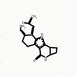 C=C(Cl)/C=C1\C(=C/N)CCc2c1[nH]c1c2C(=O)NC2CCC12